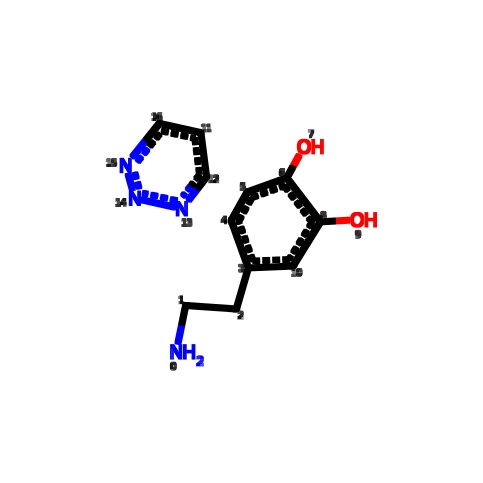 NCCc1ccc(O)c(O)c1.c1cnnnc1